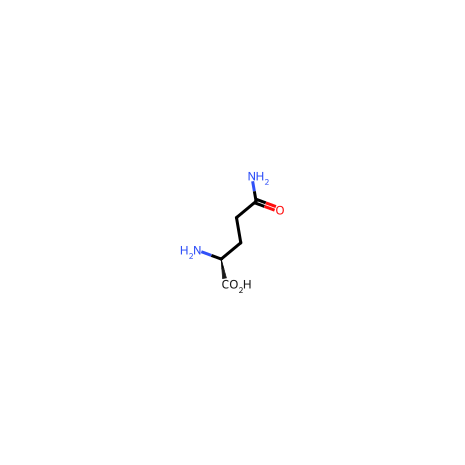 NC(=O)CC[C@H](N)[13C](=O)O